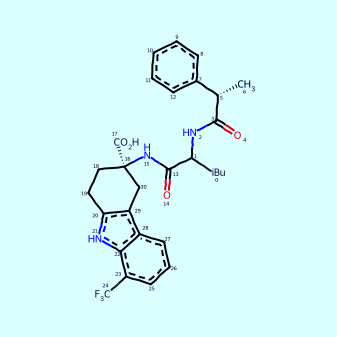 CCC(C)C(NC(=O)[C@@H](C)c1ccccc1)C(=O)N[C@]1(C(=O)O)CCc2[nH]c3c(C(F)(F)F)cccc3c2C1